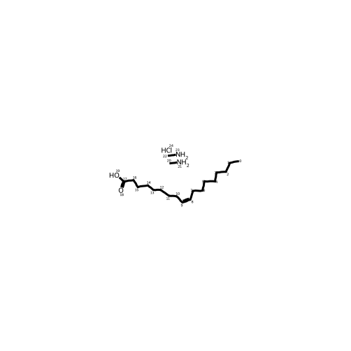 CCCCCCCC/C=C\CCCCCCCC(=O)O.CN.CN.Cl